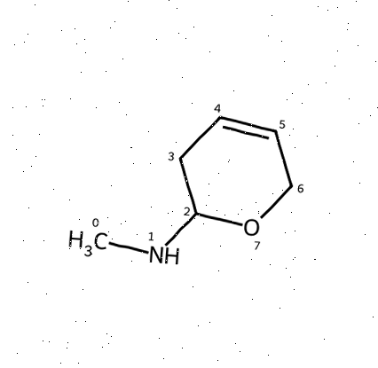 CNC1CC=CCO1